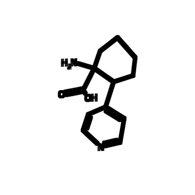 NC1(C(=O)O)CCCCC1c1ccncc1